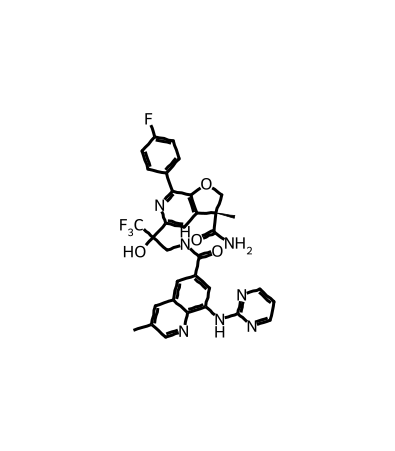 Cc1cnc2c(Nc3ncccn3)cc(C(=O)NCC(O)(c3cc4c(c(-c5ccc(F)cc5)n3)OC[C@]4(C)C(N)=O)C(F)(F)F)cc2c1